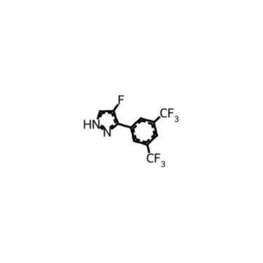 Fc1c[nH]nc1-c1cc(C(F)(F)F)cc(C(F)(F)F)c1